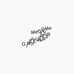 COc1cc2c(cc1OC)C1(CCC2=O)CCN(CCc2ccc([N+](=O)[O-])cc2)CC1